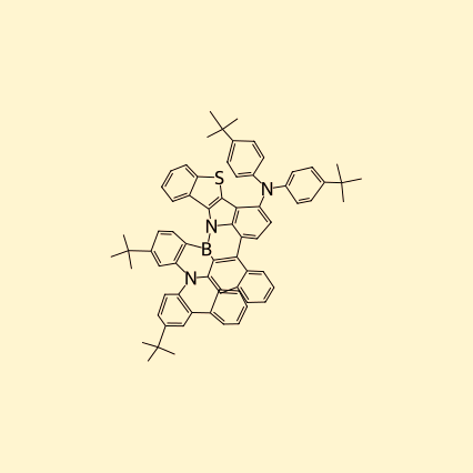 CC(C)(C)c1ccc(N(c2ccc(C(C)(C)C)cc2)c2ccc3c4c2c2sc5ccccc5c2n4B2c4ccc(C(C)(C)C)cc4N(c4ccc(C(C)(C)C)cc4-c4ccccc4)c4cc5ccccc5c-3c42)cc1